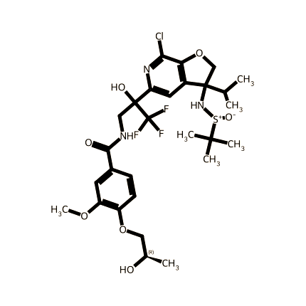 COc1cc(C(=O)NCC(O)(c2cc3c(c(Cl)n2)OCC3(N[S+]([O-])C(C)(C)C)C(C)C)C(F)(F)F)ccc1OC[C@@H](C)O